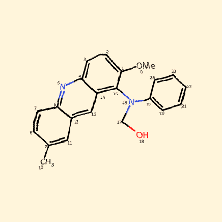 COc1ccc2nc3ccc(C)cc3cc2c1N(CO)c1ccccc1